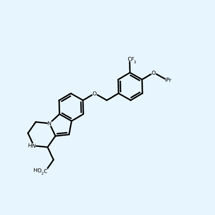 CC(C)Oc1ccc(COc2ccc3c(c2)cc2n3CCNC2CC(=O)O)cc1C(F)(F)F